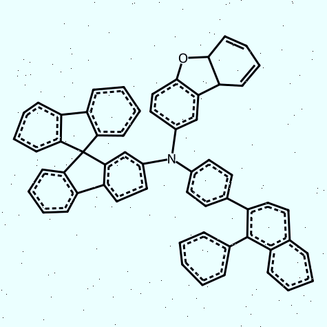 C1=CC2Oc3ccc(N(c4ccc(-c5ccc6ccccc6c5-c5ccccc5)cc4)c4ccc5c(c4)C4(c6ccccc6-c6ccccc64)c4ccccc4-5)cc3C2C=C1